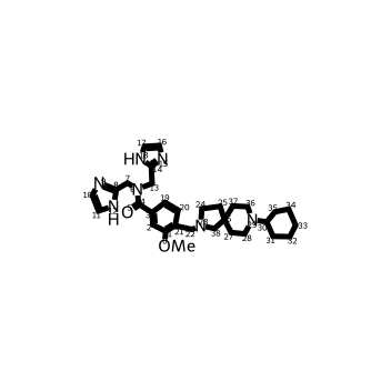 COc1cc(C(=O)N(Cc2ncc[nH]2)Cc2ncc[nH]2)ccc1CN1CCC2(CCN(C3CCCCC3)CC2)C1